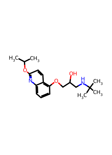 CC(C)Oc1ccc2c(OCC(O)CNC(C)(C)C)cccc2n1